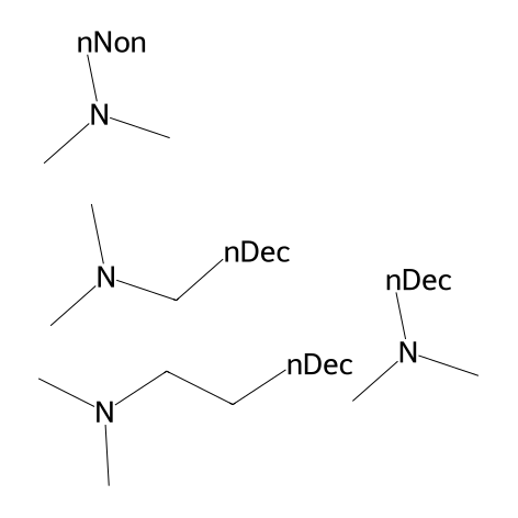 CCCCCCCCCCCCN(C)C.CCCCCCCCCCCN(C)C.CCCCCCCCCCN(C)C.CCCCCCCCCN(C)C